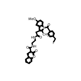 COc1ccc2c(c1)c(CC(=O)NCCNC(=O)c1cc3ccccc3oc1=O)c(C)n2C(=O)c1ccc(CI)cc1